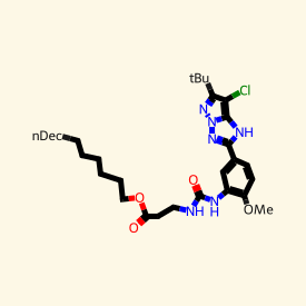 CCCCCCCCCCCCCCCCOC(=O)CCNC(=O)Nc1cc(-c2nn3nc(C(C)(C)C)c(Cl)c3[nH]2)ccc1OC